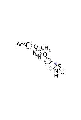 CC(=O)N1CCC(Oc2ncnc(Oc3cccc(/C=C4/SC(=O)NC4=O)c3)c2C)CC1